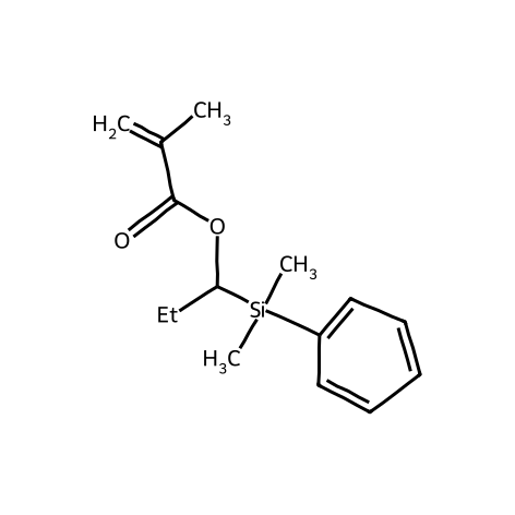 C=C(C)C(=O)OC(CC)[Si](C)(C)c1ccccc1